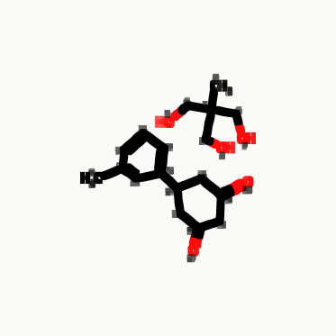 CC(CO)(CO)CO.Cc1cccc(C2CC(=O)CC(=O)C2)c1